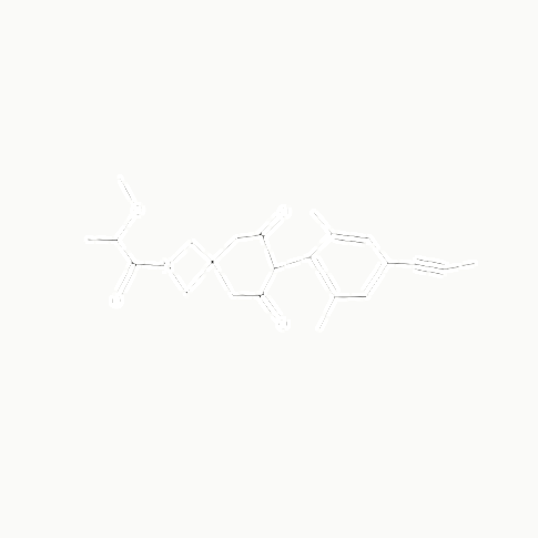 CC#Cc1cc(C)c(C2C(=O)CC3(CC2=O)CN(C(=O)C(C)OC)C3)c(C)c1